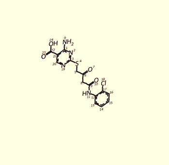 Nc1nc(SCC(=O)CC(=O)Nc2ccccc2Cl)ncc1C(=O)O